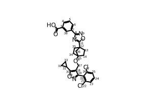 O=C(O)c1cccc(-c2noc(C34CCC(OCc5c(-c6c(Cl)cccc6Cl)noc5C5CC5)(CC3)C4)n2)c1